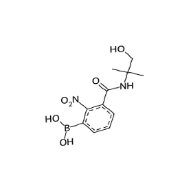 CC(C)(CO)NC(=O)c1cccc(B(O)O)c1[N+](=O)[O-]